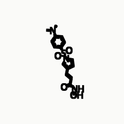 CN(C)c1ccc(S(=O)(=O)n2ccc(/C=C/C(=O)NO)c2)cc1